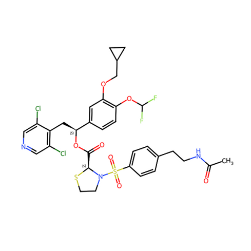 CC(=O)NCCc1ccc(S(=O)(=O)N2CCS[C@H]2C(=O)O[C@@H](Cc2c(Cl)cncc2Cl)c2ccc(OC(F)F)c(OCC3CC3)c2)cc1